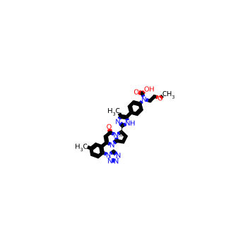 COCCN(C(=O)O)c1ccc(-c2[nH]c([C@@H]3CCc4nc(-c5cc(C)ccc5-n5cnnn5)cc(=O)n43)nc2C)cc1